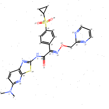 CN(C)c1ccc2nc(NC(=O)/C(=N/OCc3ncccn3)c3ccc(S(=O)(=O)C4CC4)cc3)sc2n1